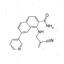 C=C(C#N)CNc1c(C(N)=O)ccc2ccc(-c3cccnc3)cc12